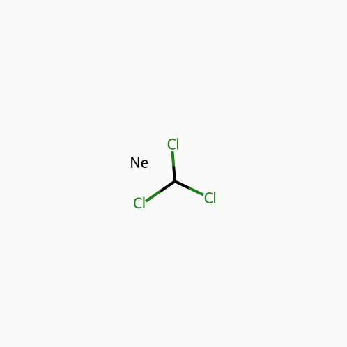 ClC(Cl)Cl.[Ne]